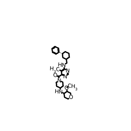 COC1COCCC1NC1CCN(C(=O)c2ncnc(NCC3CCC[C@@H](c4ccccc4)C3)c2C)CC1